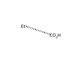 CCC=CCCCCC=CCCCCC=CCCCC(=O)O